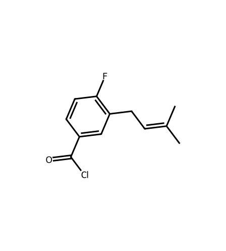 CC(C)=CCc1cc(C(=O)Cl)ccc1F